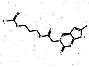 Cc1cc2cn(CC(=O)NCCCNC(=N)N)c(=O)nc2[nH]1